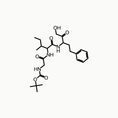 CCC(C)C(NC(=O)CNC(=O)OC(C)(C)C)C(=O)NC(CCc1ccccc1)C(=O)CO